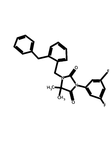 CC1(C)C(=O)N(c2cc(F)cc(F)c2)C(=O)N1Cc1ccccc1Cc1ccccc1